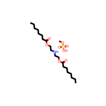 CCCCCCCC(=O)OCCNCCOC(=O)CCCCCCC.COS(=O)(=O)O